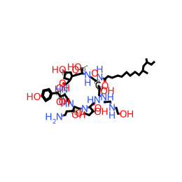 CCC(C)CC(C)CCCCCCCCC(=O)N[C@H]1C[C@@H](O)C(NCCNCCO)NC(=O)C2[C@@H](O)CCN2C(=O)C([C@H](O)CCN)NC(=O)C([C@H](O)[C@@H](O)c2ccc(O)cc2)NC(=O)C2C[C@@H](O)CC2C(=O)C([C@@H](C)O)NC1=O